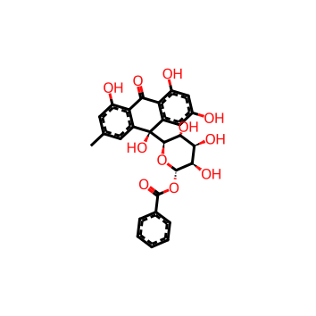 Cc1cc(O)c2c(c1)[C@@](O)([C@@H]1O[C@@H](OC(=O)c3ccccc3)[C@H](O)[C@H](O)[C@H]1O)c1cc(O)cc(O)c1C2=O